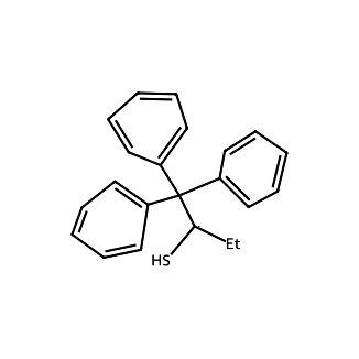 CC[C](S)C(c1ccccc1)(c1ccccc1)c1ccccc1